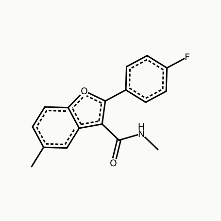 CNC(=O)c1c(-c2ccc(F)cc2)oc2ccc(C)cc12